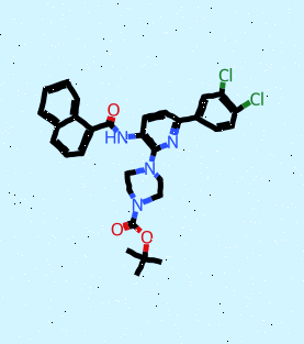 CC(C)(C)OC(=O)N1CCN(c2nc(-c3ccc(Cl)c(Cl)c3)ccc2NC(=O)c2cccc3ccccc23)CC1